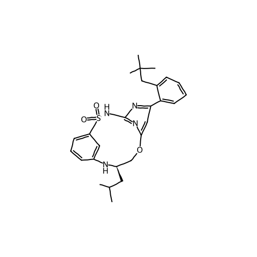 CC(C)C[C@@H]1COc2cc(-c3ccccc3CC(C)(C)C)nc(n2)NS(=O)(=O)c2cccc(c2)N1